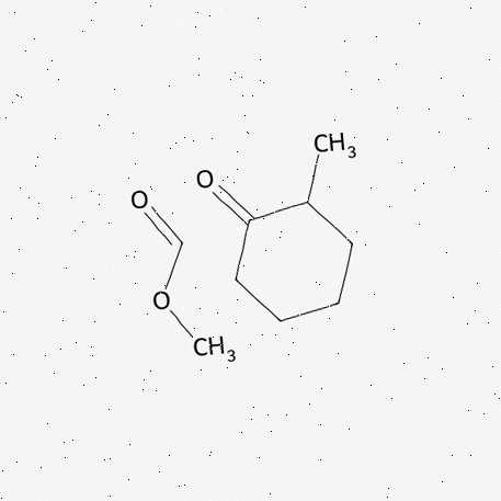 CC1CCCCC1=O.COC=O